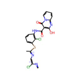 C=N/C(Cl)=C\N=C(/C)Sc1cccc(NC(=O)c2c(O)nc3ccccn3c2=O)c1Cl